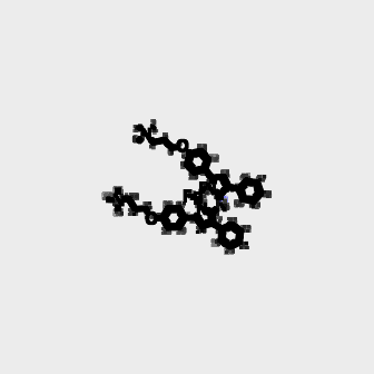 C[N+](C)(C)CCCOc1ccc(C2=N/C(=N\c3c(-c4ccccc4)cc(-c4ccc(OCCC[N+](C)(C)C)cc4)n3B(F)F)C(c3ccccc3)=C2)cc1